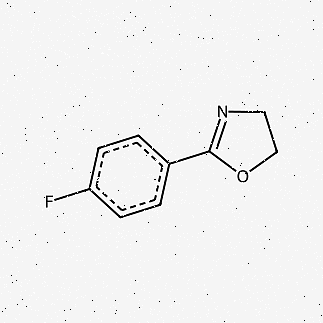 Fc1ccc(C2=NCCO2)cc1